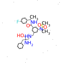 C[C@@H](NC(=O)c1cc(CNCC(N)(CO)Cc2ccccc2)cc(N(C)S(C)(=O)=O)c1)c1ccc(F)cc1